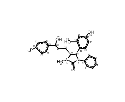 CN1C(=S)N(c2ccccc2)[C@H](c2ccc(O)cc2O)[C@@H]1CCC(O)c1ccc(F)cc1